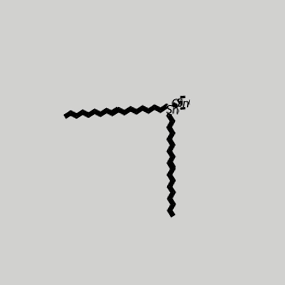 CCCCCCCCC=CCCCCCCC[CH2][Sn]([CH3])([CH2]CCCCCCCC=CCCCCCCCC)[O][Sn]([CH3])([CH3])[CH3]